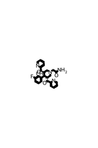 Cc1c(F)cccc1C1[C@@H](C(=O)c2ccccn2)CN(CC(N)=O)C[C@@H]1C(=O)c1ccccn1